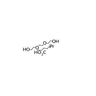 CC(C)CCCCC(=O)O.OCCOCCOCCO